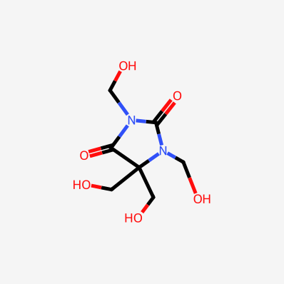 O=C1N(CO)C(=O)C(CO)(CO)N1CO